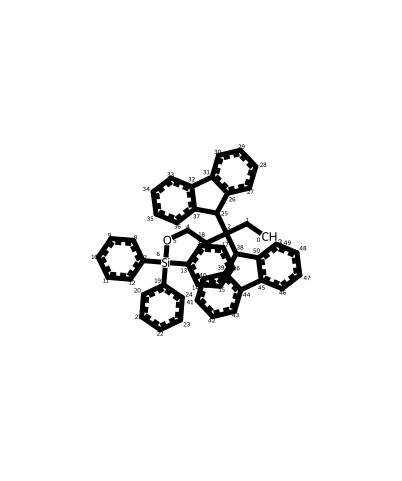 CCC(CCO[Si](c1ccccc1)(c1ccccc1)c1ccccc1)(C1c2ccccc2-c2ccccc21)C1c2ccccc2-c2ccccc21